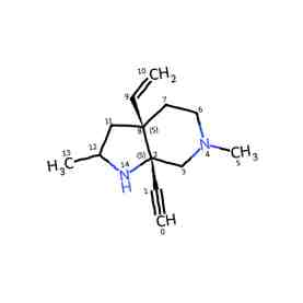 C#C[C@]12CN(C)CC[C@@]1(C=C)CC(C)N2